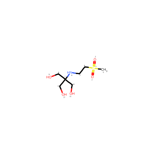 CS(=O)(=O)CCNC(CO)(CO)CO